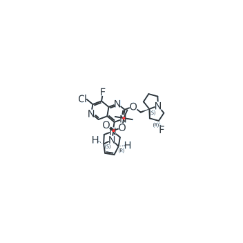 CC(C)(C)OC(=O)N1[C@@H]2C=C[C@H]1CN(c1nc(OC[C@@]34CCCN3C[C@H](F)C4)nc3c(F)c(Cl)ncc13)C2